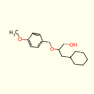 COc1ccc(COC(CO)CC2CCCCC2)cc1